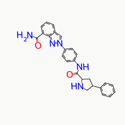 NC(=O)c1cccc2cn(-c3ccc(NC(=O)C4CC(c5ccccc5)CN4)cc3)nc12